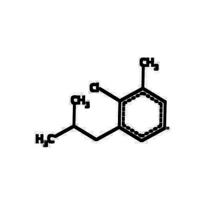 Cc1c[c]cc(CC(C)C)c1Cl